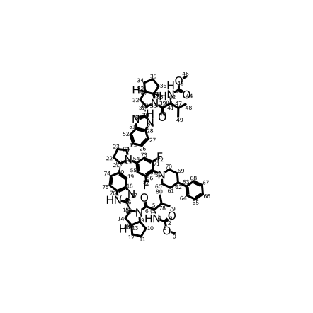 COC(=O)N[C@H](C(=O)N1C2CCC[C@H]2C[C@H]1c1nc2cc([C@H]3CC[C@H](c4ccc5[nH]c([C@@H]6C[C@@H]7CCC[C@@H]7N6C(=O)[C@@H](NC(=O)OC)C(C)C)nc5c4)N3c3cc(F)c(N4CCC(c5ccccc5)CC4)c(F)c3)ccc2[nH]1)C(C)C